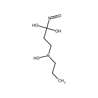 CCCN(O)CCC(O)(O)N=O